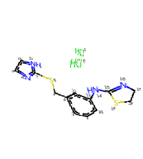 Cl.Cl.c1cc(CSc2ncc[nH]2)cc(NC2=NCCS2)c1